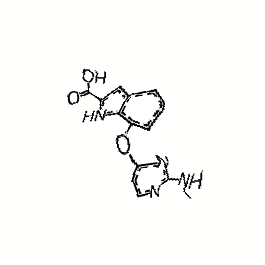 CNc1nccc(Oc2cccc3cc(C(=O)O)[nH]c23)n1